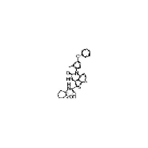 Cc1cc(Oc2ccccc2)ccc1N1C(=O)Nc2c(C(=O)N[C@@H]3CCCC[C@@H]3O)sc3nccc1c23